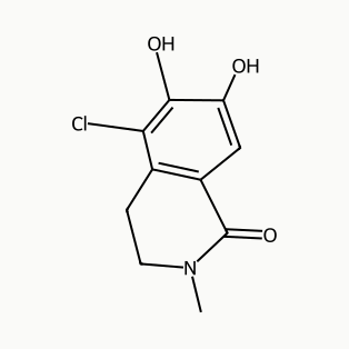 CN1CCc2c(cc(O)c(O)c2Cl)C1=O